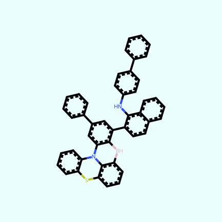 B1c2cccc3c2N(c2ccccc2S3)c2cc(-c3ccccc3)cc(-c3ccc4ccccc4c3Nc3ccc(-c4ccccc4)cc3)c21